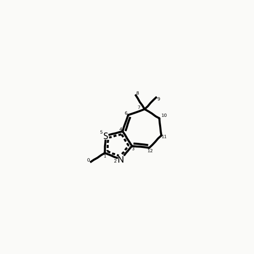 Cc1nc2c(s1)=CC(C)(C)CCC=2